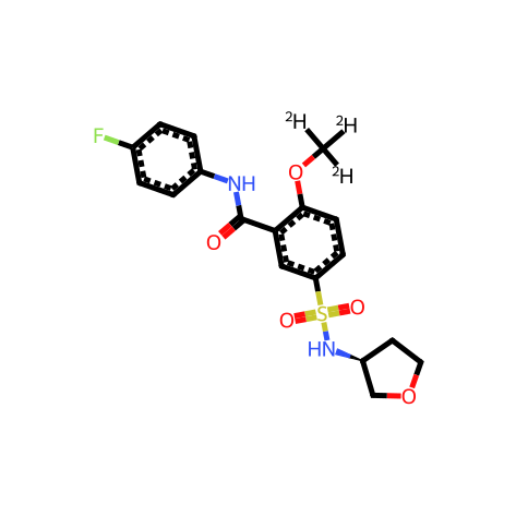 [2H]C([2H])([2H])Oc1ccc(S(=O)(=O)N[C@H]2CCOC2)cc1C(=O)Nc1ccc(F)cc1